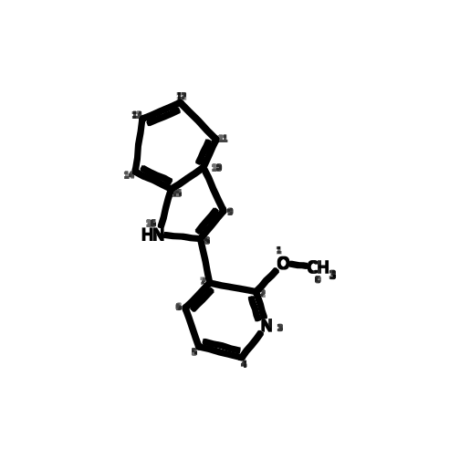 COc1ncccc1-c1cc2ccccc2[nH]1